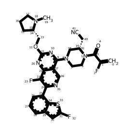 C=C(F)C(=O)N1CCN(c2nc(OC[C@@H]3CCCN3C)nc3c(F)c(-c4cccc5cc(F)sc45)ncc23)C[C@@H]1CC#N